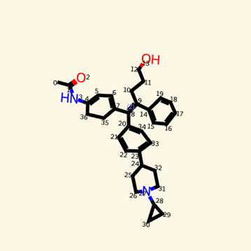 CC(=O)NC1=CC=C(/C(=C(\CCCO)c2ccccc2)c2ccc(C3CCN(C4CC4)CC3)cc2)CC1